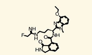 CCOc1cccc2c1nc([C@H](CCCNC(=N)CF)NC(=O)c1cccc3c1C(=O)NC3)n2C